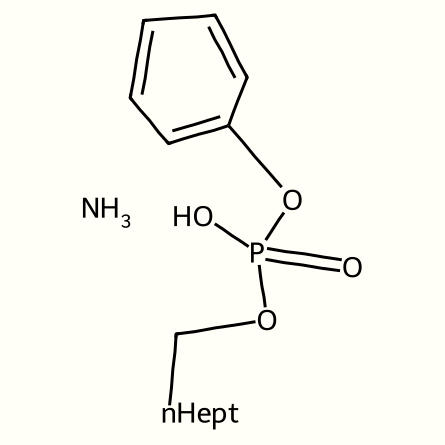 CCCCCCCCOP(=O)(O)Oc1ccccc1.N